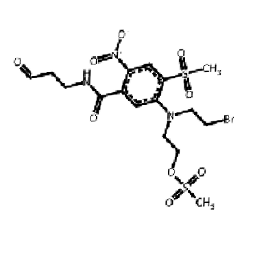 CS(=O)(=O)OCCN(CCBr)c1cc(C(=O)NCCC=O)c([N+](=O)[O-])cc1S(C)(=O)=O